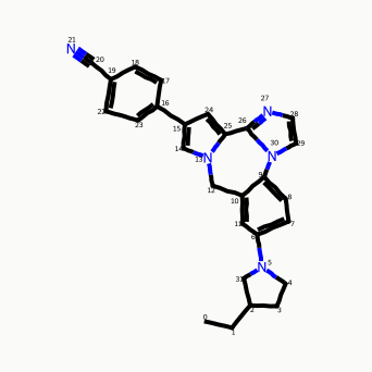 CCC1CCN(c2ccc3c(c2)Cn2cc(-c4ccc(C#N)cc4)cc2-c2nccn2-3)C1